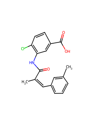 CC(=Cc1cccc(C)c1)C(=O)Nc1cc(C(=O)O)ccc1Cl